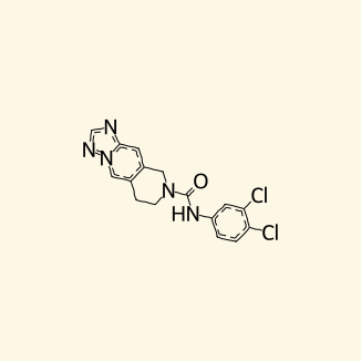 O=C(Nc1ccc(Cl)c(Cl)c1)N1CCc2cn3ncnc3cc2C1